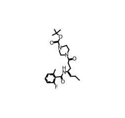 CC/C=C(\CCC(=O)N1CCN(C(=O)OC(C)(C)C)CC1)NC(=O)c1c(C)cccc1F